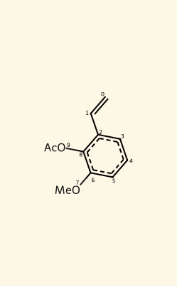 C=Cc1cccc(OC)c1OC(C)=O